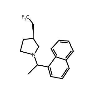 CC(c1cccc2ccccc12)N1CC[C@@H](CC(F)(F)F)C1